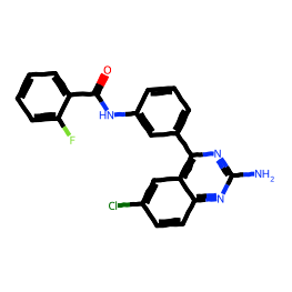 Nc1nc(-c2cccc(NC(=O)c3ccccc3F)c2)c2cc(Cl)ccc2n1